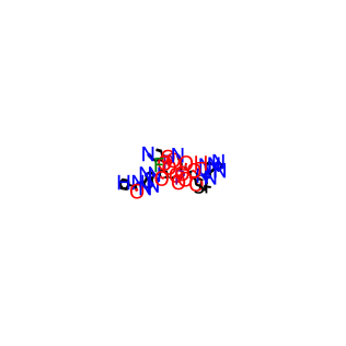 C=CCOP(=O)(OCCC#N)O[C@H]1[C@@H](F)[C@H](n2cnc3c(NC(=O)c4ccccc4)ncnc32)O[C@@H]1COP(=O)(OCCC#N)O[C@H]1C(O[Si](C)(C)C(C)(C)C)[C@H](n2cnc3c2ncn2ncnc32)O[C@@H]1CO